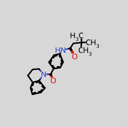 CC(C)(C)CC(=O)Nc1ccc(C(=O)N2CCCc3ccccc32)cc1